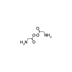 NCC(=O)OOC(=O)CN